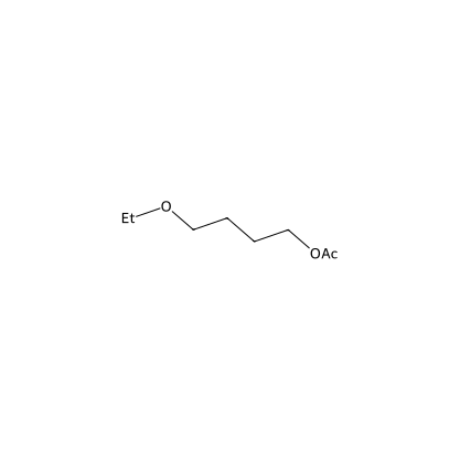 CCOCCCCOC(C)=O